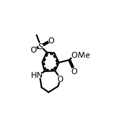 COC(=O)c1cc(S(C)(=O)=O)cc2c1OCCCN2